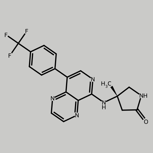 C[C@@]1(Nc2ncc(-c3ccc(C(F)(F)F)cc3)c3nccnc23)CNC(=O)C1